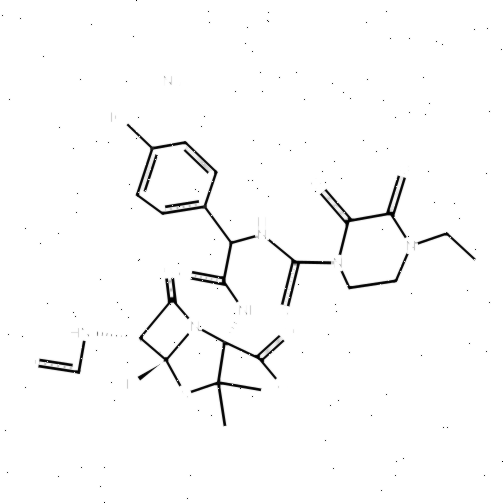 CCN1CCN(C(=O)NC(C(=O)N[C@@]2(C(=O)[O-])N3C(=O)[C@@H](NC=O)[C@H]3SC2(C)C)c2ccc(O)cc2)C(=O)C1=O.[Na+]